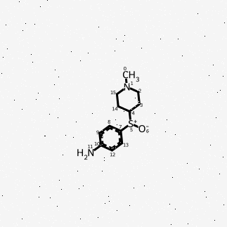 CN1CCC([S+]([O-])c2ccc(N)cc2)CC1